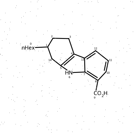 CCCCCCC1CCc2c([nH]c3c(C(=O)O)cccc23)C1